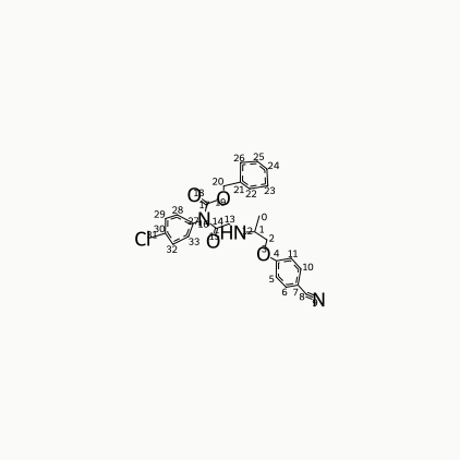 CC(COc1ccc(C#N)cc1)NCC(=O)N(C(=O)OCc1ccccc1)c1ccc(Cl)cc1